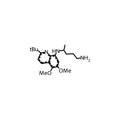 COc1cc(NC(C)CCCN)c2nc(C(C)(C)C)ccc2c1OC